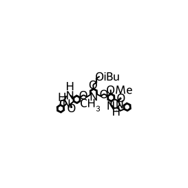 COc1cc2c(cc1OCc1cc(OCCOCC(C)C)cc(COc3cc4c(cc3C)C(=O)N3c5ccccc5C[C@H]3CN4)n1)N=C[C@@H]1Cc3ccccc3N1C2=O